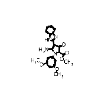 COC(=O)C1C(=O)C(c2nc3ccccc3[nH]2)=C(N)N1c1cc(OC)cc(OC)c1